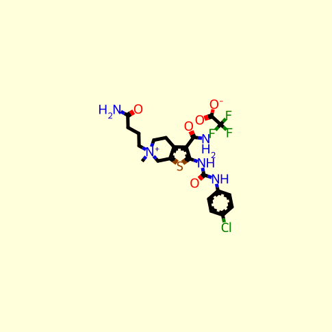 C[N+]1(CCCC(N)=O)CCc2c(sc(NC(=O)Nc3ccc(Cl)cc3)c2C(N)=O)C1.O=C([O-])C(F)(F)F